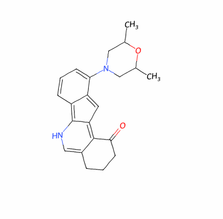 CC1CN(c2cccc3c4[nH]cc5c(c-4cc23)C(=O)CCC5)CC(C)O1